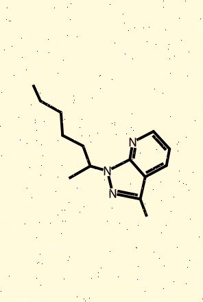 CCCCCC(C)n1nc(C)c2cccnc21